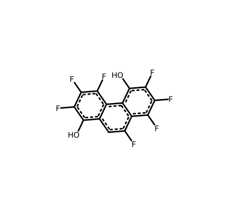 Oc1c(F)c(F)c(F)c2c1cc(F)c1c(F)c(F)c(F)c(O)c12